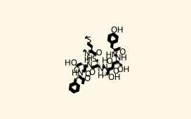 CN[C@@H](CCSC)C(=O)SC[C@H](NN[C@H](C(=O)C(=O)[C@H](CO)NN[C@H](C=O)Cc1ccc(O)cc1)[C@@H](C)O)C(=O)N[C@@H](CC(=O)O)C(=O)N[C@@H](Cc1ccccc1)C(C)=O